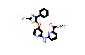 COC(=O)c1cccc(Nc2cc(Oc3sc(C(C)C)nc3-c3ccccc3)ccn2)n1